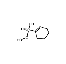 O=P(O)(OO)C1=CCCCC1